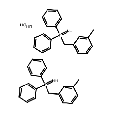 Cc1cccc(CP(=N)(c2ccccc2)c2ccccc2)c1.Cc1cccc(CP(=N)(c2ccccc2)c2ccccc2)c1.Cl.Cl